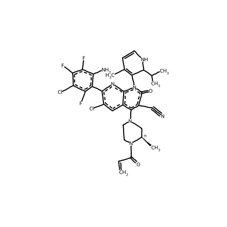 C=CC(=O)N1CCN(c2c(C#N)c(=O)n(C3=C(C)C=CNC3C(C)C)c3nc(-c4c(N)c(F)c(F)c(Cl)c4F)c(Cl)cc23)C[C@H]1C